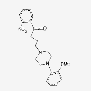 COc1ccccc1N1CCN(CCCC(=O)c2ccccc2[N+](=O)[O-])CC1